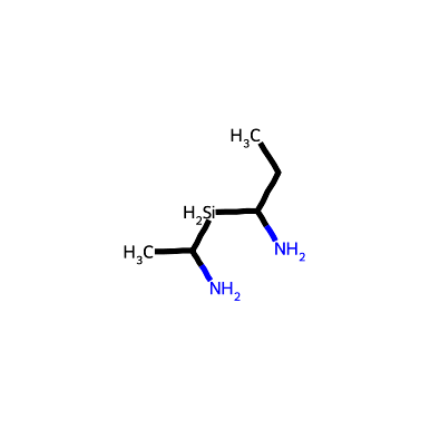 CCC(N)[SiH2]C(C)N